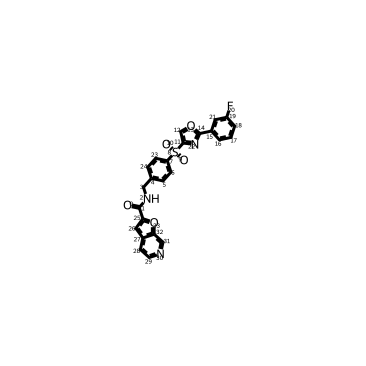 O=C(NCc1ccc(S(=O)(=O)c2coc(-c3cccc(F)c3)n2)cc1)c1cc2ccncc2o1